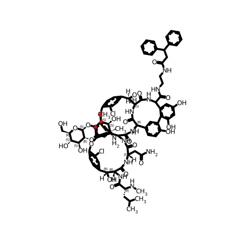 CN[C@H](CC(C)C)C(=O)N[C@H]1C(=O)N[C@@H](CC(N)=O)C(=O)NC2C(=O)N[C@H]3C(=O)N[C@H](C(=O)NC(C(=O)NCCNC(=O)CC(c4ccccc4)c4ccccc4)c4cc(O)cc(O)c4-c4cc3ccc4O)[C@H](O)c3ccc(c(Cl)c3)Oc3cc2cc(c3O[C@@H]2O[C@H](CO)[C@@H](O)[C@H](O)[C@H]2OC2C[C@](C)(N)[C@H](O)[C@H](C)O2)Oc2ccc(cc2Cl)[C@H]1O